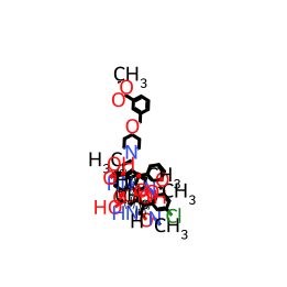 CCOC(=O)c1cccc(COC2CCN(CC(C)[C@@H]3CC[C@@H](C)[C@]4(O)C([C@@H]5[C@@H](C(=O)O)N[C@@H]6ON(C)c7c(Cl)ccc(N8OC9NC(C(=O)O)=CC9C9CC=CCC98)c7[C@@]65O)C(OC(C)=O)C(C)=C[C@H]34)CC2)c1